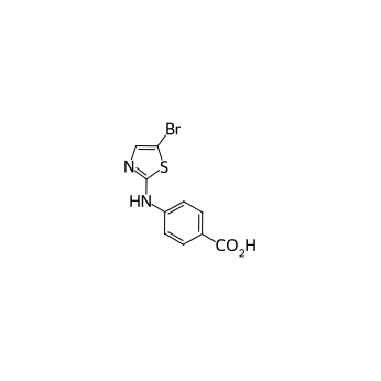 O=C(O)c1ccc(Nc2ncc(Br)s2)cc1